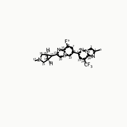 Cc1cn2nc(-c3cc(F)c4nc(C5[C@H]6CN(C)C[C@@H]56)cn4c3)cc(C(F)(F)F)c2n1